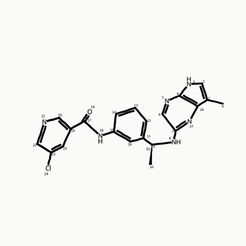 Cc1c[nH]c2ncc(N[C@@H](C)c3cccc(NC(=O)c4cncc(Cl)c4)c3)nc12